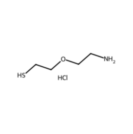 Cl.NCCOCCS